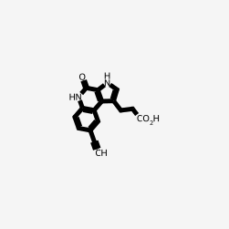 C#Cc1ccc2[nH]c(=O)c3[nH]cc(CCC(=O)O)c3c2c1